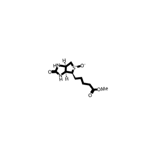 COC(=O)CCCC[C@H]1[C@H]2NC(=O)N[C@H]2C[S+]1[O-]